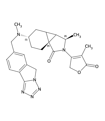 CC1=C(N2C(=O)[C@]34CC[C@H](N(C)Cc5ccc6c(c5)Cn5nnnc5-6)CC3C4[C@H]2C)COC1=O